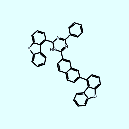 c1ccc(C2=NC(c3cccc4sc5ccccc5c34)NC(c3ccc4ccc(-c5cccc6oc7ccccc7c56)cc4c3)=N2)cc1